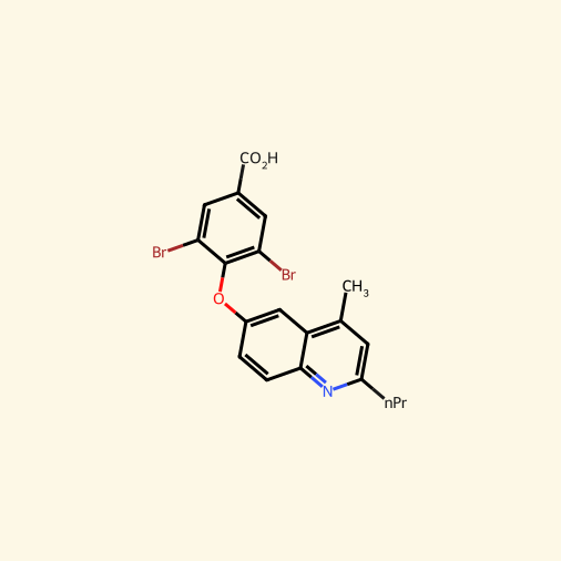 CCCc1cc(C)c2cc(Oc3c(Br)cc(C(=O)O)cc3Br)ccc2n1